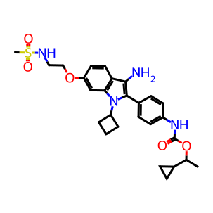 CC(OC(=O)Nc1ccc(-c2c(N)c3ccc(OCCNS(C)(=O)=O)cc3n2C2CCC2)cc1)C1CC1